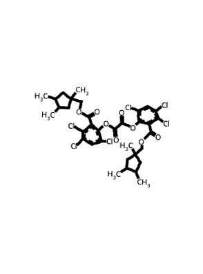 CC1CC(C)(COC(=O)c2c(Cl)c(Cl)cc(Cl)c2OC(=O)C(=O)Oc2c(Cl)cc(Cl)c(Cl)c2C(=O)OCC2(C)CC(C)C(C)C2)CC1C